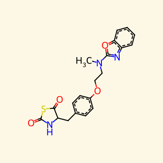 CN(CCOc1ccc(CC2NC(=O)SC2=O)cc1)c1nc2ccccc2o1